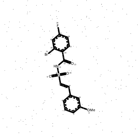 COc1cccc(/C=C/S(=O)(=O)NC(=O)c2ccc(F)cc2Br)c1